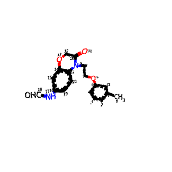 Cc1cccc(OCCN2C(=O)COc3cc(NC=O)ccc32)c1